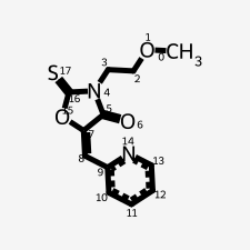 COCCN1C(=O)/C(=C\c2ccccn2)OC1=S